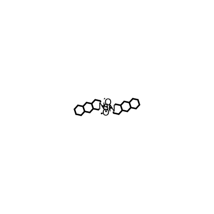 CO[Si](OC)(N1CCC2CC3CCCCC3CC2C1)N1CCC2CC3CCCCC3CC2C1